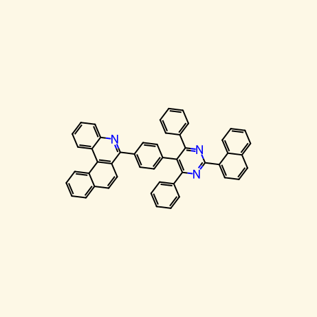 c1ccc(-c2nc(-c3cccc4ccccc34)nc(-c3ccccc3)c2-c2ccc(-c3nc4ccccc4c4c3ccc3ccccc34)cc2)cc1